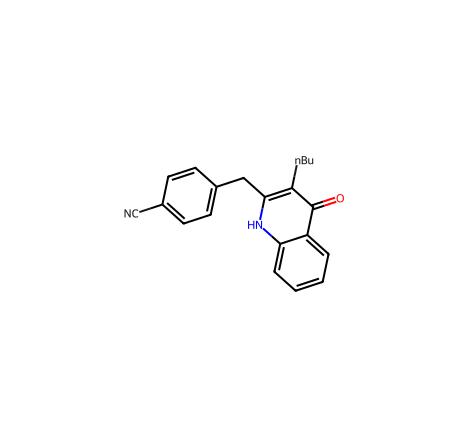 CCCCc1c(Cc2ccc(C#N)cc2)[nH]c2ccccc2c1=O